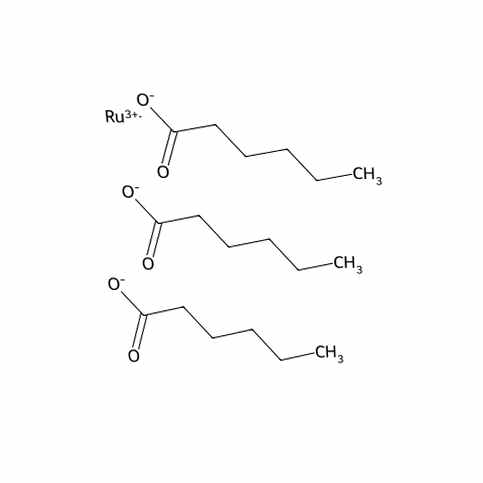 CCCCCC(=O)[O-].CCCCCC(=O)[O-].CCCCCC(=O)[O-].[Ru+3]